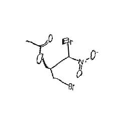 CC(=O)OC(CBr)C(Br)[N+](=O)[O-]